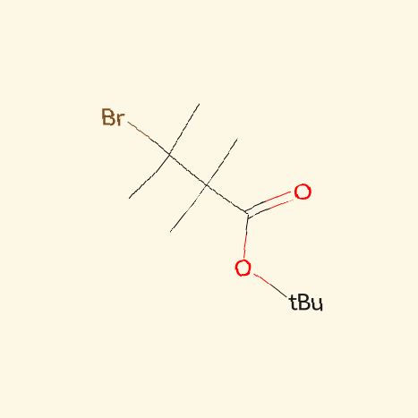 CC(C)(C)OC(=O)C(C)(C)C(C)(C)Br